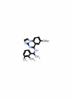 COc1ccc2c(c1)c(NC(C)c1cccc(C(F)(F)F)c1C)nc1nccn12